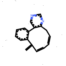 C=C1/C=C\C=C/Cc2ncncc2-c2ccccc21